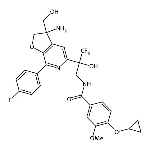 COc1cc(C(=O)NCC(O)(c2cc3c(c(-c4ccc(F)cc4)n2)OCC3(N)CO)C(F)(F)F)ccc1OC1CC1